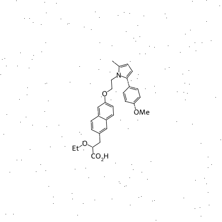 CCOC(Cc1ccc2cc(OCCn3c(C)ccc3-c3ccc(OC)cc3)ccc2c1)C(=O)O